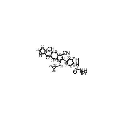 CC(C)NC(=O)Nc1ccc(-c2c(C#N)c3ccc(Oc4nccn4C)cc3n2CC2CC2)cc1